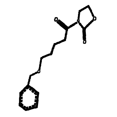 O=C(CCCCOCc1ccccc1)N1CCOC1=O